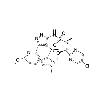 COc1cccc(-c2nnc(NS(=O)(=O)[C@@H](C)[C@H](OC)c3ncc(Cl)cn3)n2[C@@H](C)c2ncn(C)n2)n1